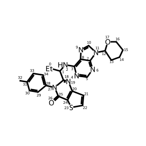 CCC(Nc1ncnc2c1ncn2C1CCCCO1)c1nc2ccsc2c(=O)n1-c1ccc(C)cc1